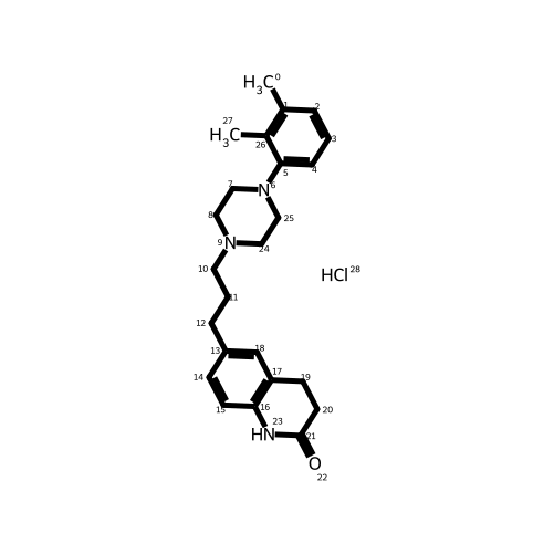 Cc1cccc(N2CCN(CCCc3ccc4c(c3)CCC(=O)N4)CC2)c1C.Cl